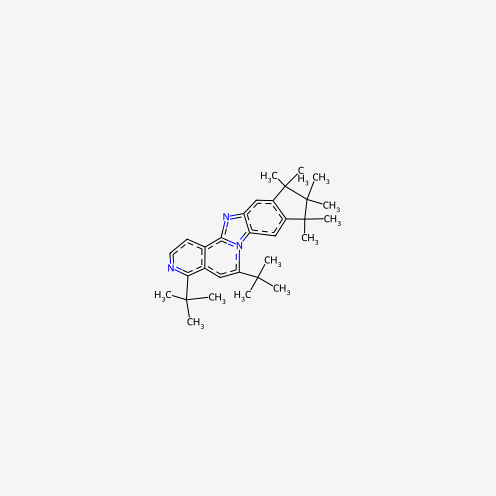 CC(C)(C)c1nccc2c1cc(C(C)(C)C)n1c3cc4c(cc3nc21)C(C)(C)C(C)(C)C4(C)C